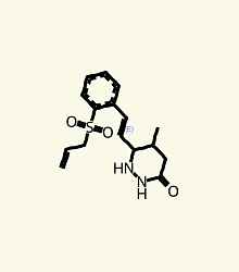 C=CCS(=O)(=O)c1ccccc1/C=C/C1NNC(=O)CC1C